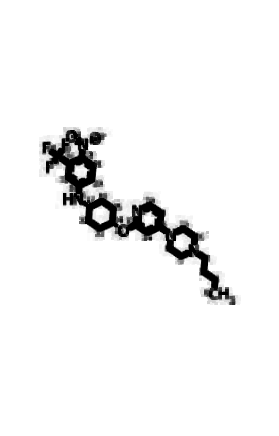 CCCCN1CCN(c2ccnc(O[C@H]3CC[C@H](Nc4ccc([N+](=O)[O-])c(C(F)(F)F)c4)CC3)c2)CC1